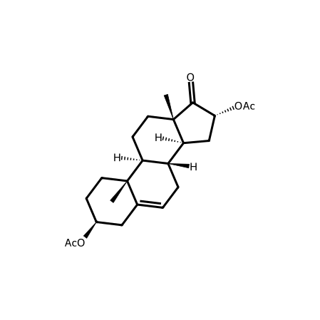 CC(=O)O[C@H]1CC[C@@]2(C)C(=CC[C@@H]3[C@@H]2CC[C@]2(C)C(=O)[C@H](OC(C)=O)C[C@@H]32)C1